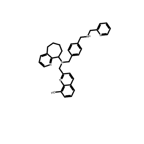 Oc1cccc2ccc(CN(Cc3ccc(CNCc4ccccn4)cc3)C3CCCCc4cccnc43)nc12